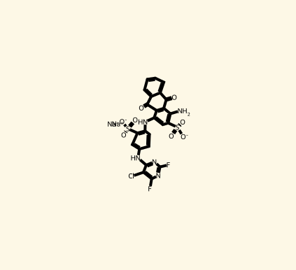 Nc1c(S(=O)(=O)[O-])cc(Nc2ccc(Nc3nc(F)nc(F)c3Cl)cc2S(=O)(=O)[O-])c2c1C(=O)c1ccccc1C2=O.[Na+].[Na+]